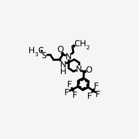 C=CCN1C(=O)C(CCSC)NC12CCN(C(=O)c1cc(C(F)(F)F)cc(C(F)(F)F)c1)CC2